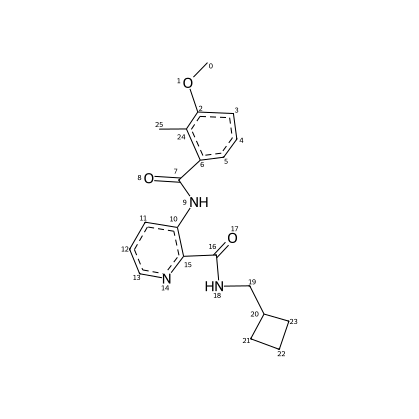 COc1cccc(C(=O)Nc2cccnc2C(=O)NCC2CCC2)c1C